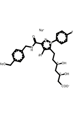 COCc1ccc(CNC(=O)c2nn(-c3ccc(F)cc3)c(CC[C@@H](O)C[C@@H](O)CC(=O)[O-])c2C(C)C)cc1.[Na+]